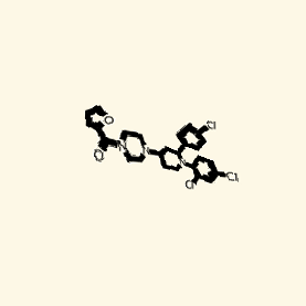 O=C(c1ccco1)N1CCN(C2CCN(c3ccc(Cl)cc3Cl)C(c3ccc(Cl)cc3)C2)CC1